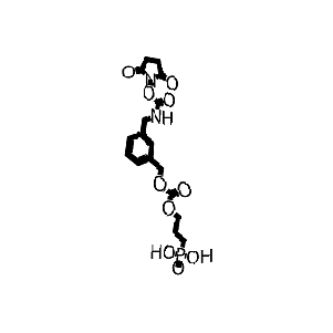 O=C(NCc1cccc(COC(=O)OCCCP(=O)(O)O)c1)ON1C(=O)CCC1=O